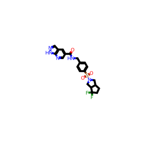 O=C(NCc1ccc(S(=O)(=O)N2CC3CCC(F)(F)C3C2)cc1)c1cnc2[nH]ncc2c1